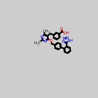 Cc1nc(C)c(Cc2cccc(C(=O)O)c2)c(OCc2ccc(-c3ccccc3-c3nnn[nH]3)cc2)n1